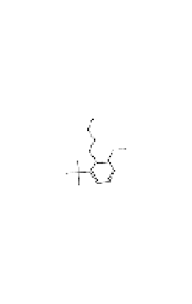 [CH2]CCCc1c(CC)cccc1C(C)(C)C